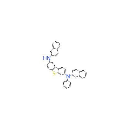 c1ccc(N(c2ccc3ccccc3c2)c2ccc3c(c2)sc2ccc(Nc4ccc5ccccc5c4)cc23)cc1